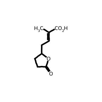 CC(=CCC1CCC(=O)O1)C(=O)O